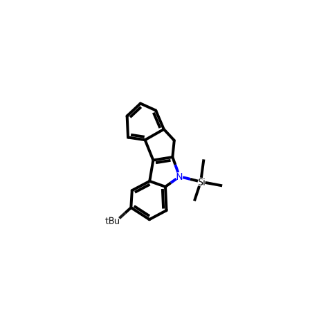 CC(C)(C)c1ccc2c(c1)c1c(n2[Si](C)(C)C)Cc2ccccc2-1